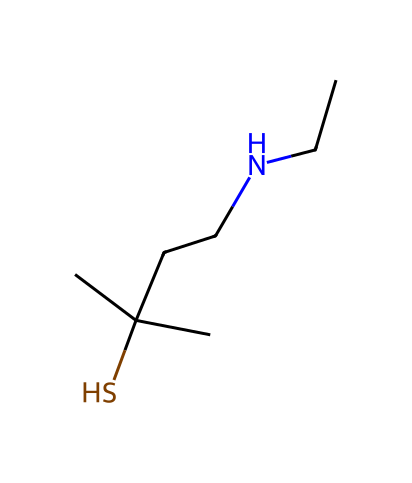 CCNCCC(C)(C)S